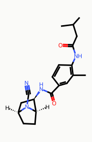 Cc1cc(C(=O)N[C@@H]2C[C@@H]3CC[C@H]2N3C#N)ccc1NC(=O)CC(C)C